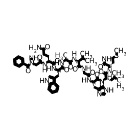 CSCC[C@H](NC(=O)[C@H](CC(C)C)NC(=O)[C@H](Cc1c[nH]cn1)NC(=O)CNC(=O)[C@@H](NC(=O)[C@H](C)NC(=O)[C@H](Cc1c[nH]c2ccccc12)NC(=O)[C@H](CCC(N)=O)NC(=O)CN(N)C(=O)c1ccccc1)C(C)C)C(N)=O